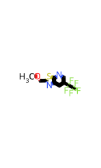 COCc1nc2cc(C(F)(F)C(F)(F)F)cnc2s1